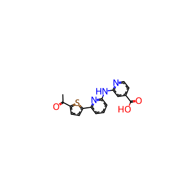 CC(=O)c1ccc(-c2cccc(Nc3cc(C(=O)O)ccn3)n2)s1